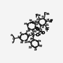 CC(C)c1ccc(S(OS(=O)(=O)c2c(F)c(F)c(F)c(F)c2F)(c2ccccc2)c2ccccc2)cc1